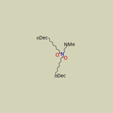 CCCCCCCCCCCCCCCCCC(=O)N(CCCNC)C(=O)CCCCCCCCCCCCCCCCC